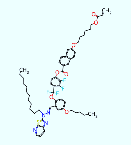 C=CC(=O)OCCCCCCOc1ccc2cc(C(=O)Oc3ccc(C(F)(F)Oc4ccc(OCCCCC)cc4/C=N/N(CCCCCCCCCCCC)c4nc5cccnc5s4)c(F)c3F)ccc2c1